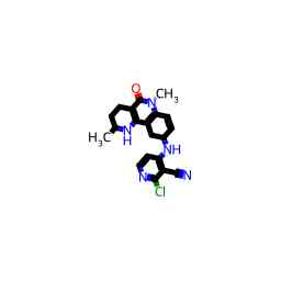 CC1CCc2c(c3c(n(C)c2=O)C=CC(Nc2ccnc(Cl)c2C#N)C3)N1